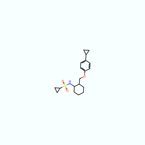 O=S(=O)(NC1CCCCC1COc1ccc(C2CC2)cc1)C1CC1